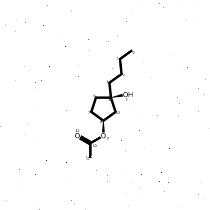 CCCC[C@@]1(O)CC[C@H](OC(C)=O)C1